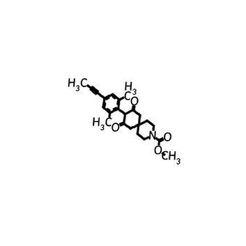 CC#Cc1cc(C)c(C2C(=O)CC3(CCN(C(=O)OC)CC3)CC2=O)c(C)c1